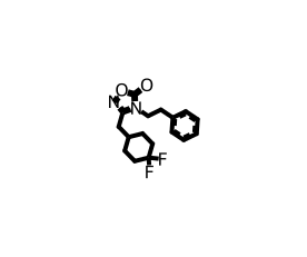 O=c1onc(CC2CCC(F)(F)CC2)n1CCc1ccccc1